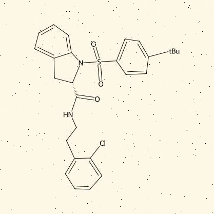 CC(C)(C)c1ccc(S(=O)(=O)N2c3ccccc3C[C@H]2C(=O)NCCc2ccccc2Cl)cc1